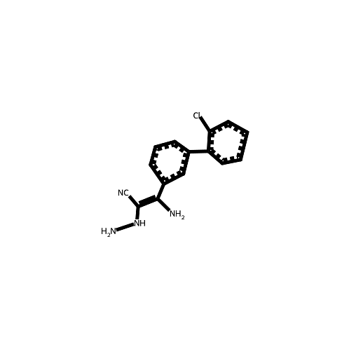 N#C/C(NN)=C(/N)c1cccc(-c2ccccc2Cl)c1